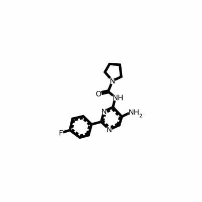 Nc1cnc(-c2ccc(F)cc2)nc1NC(=O)N1CCCC1